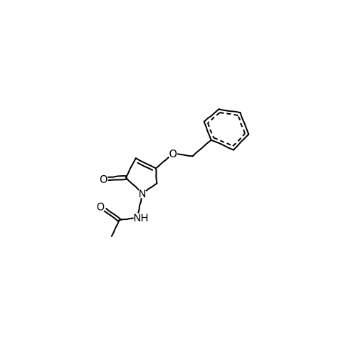 CC(=O)NN1CC(OCc2ccccc2)=CC1=O